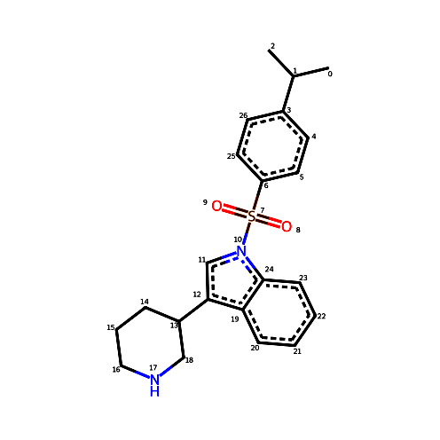 CC(C)c1ccc(S(=O)(=O)n2cc(C3CCCNC3)c3ccccc32)cc1